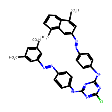 O=C(O)c1cc(/N=N/c2ccc(Nc3nc(Cl)nc(Nc4ccc(/N=N/c5cc(S(=O)(=O)O)c6cccc(S(=O)(=O)O)c6c5)cc4)n3)cc2)cc(C(=O)O)c1